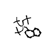 CC(C)(C)[CH2][Ta](=[CH]c1cccc2ccccc12)([CH2]C(C)(C)C)[CH2]C(C)(C)C